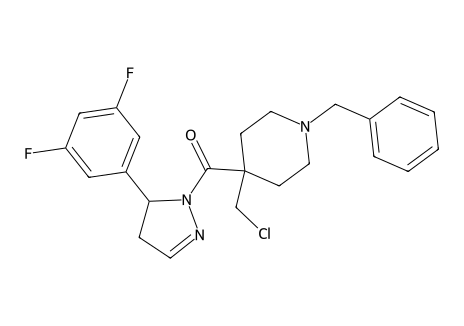 O=C(N1N=CCC1c1cc(F)cc(F)c1)C1(CCl)CCN(Cc2ccccc2)CC1